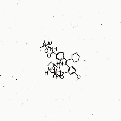 COc1ccc2c(c1)C1CC1(C(=O)N1[C@@H]3CC[C@H]1CN(C(C)=O)C3)Cn1c-2c(C2CCCCC2)c2ccc(C(=O)NS(=O)(=O)N(C)C)cc21